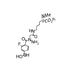 CN[C@@H](CCCCNC(=O)CN(N)C(=O)c1ccc(BO)cc1F)C(=O)O